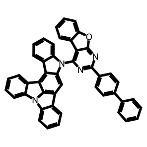 c1ccc(-c2ccc(-c3nc(-n4c5ccccc5c5c6c7ccccc7n7c8ccccc8c(cc54)c67)c4c(n3)oc3ccccc34)cc2)cc1